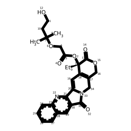 CC[C@@]1(OC(=O)COC(C)(C)CCO)C(=O)OCC2=C1C=C1c3nc4ccccc4cc3C(=O)N1C2